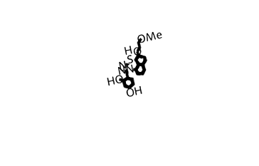 COCCOc1ccc2cccc(-n3c(S)nnc3-c3ccc(O)cc3O)c2c1